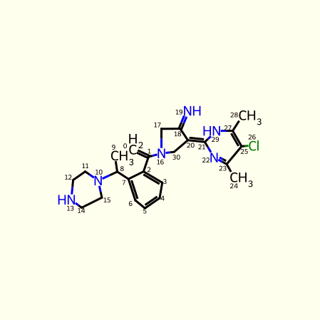 C=C(c1ccccc1C(C)N1CCNCC1)N1CC(=N)/C(=C2/N=C(C)C(Cl)=C(C)N2)C1